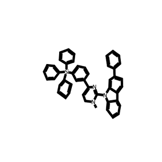 CN1CC=C(c2cccc([Si](c3ccccc3)(c3ccccc3)c3ccccc3)c2)N=C1n1c2ccccc2c2ccc(-c3ccccc3)cc21